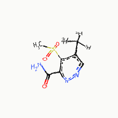 [2H]C([2H])([2H])c1cnnc(C(N)=O)c1S(C)(=O)=O